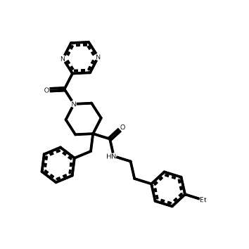 CCc1ccc(CCNC(=O)C2(Cc3ccccc3)CCN(C(=O)c3cnccn3)CC2)cc1